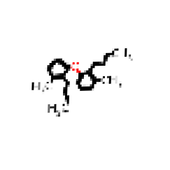 CCCCc1c(C)cccc1Oc1cccc(C)c1CCCC